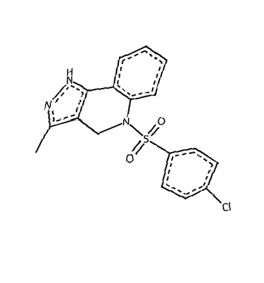 Cc1n[nH]c2c1CN(S(=O)(=O)c1ccc(Cl)cc1)c1ccccc1-2